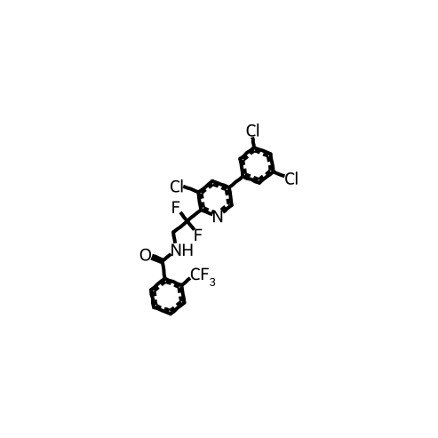 O=C(NCC(F)(F)c1ncc(-c2cc(Cl)cc(Cl)c2)cc1Cl)c1ccccc1C(F)(F)F